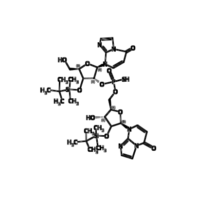 CC(C)(C)[Si](C)(C)OC1[C@@H](OP(=O)(S)OC[C@H]2O[C@@H](n3ccc(=O)n4ccnc34)C(O[Si](C)(C)C(C)(C)C)[C@@H]2O)[C@H](n2ccc(=O)n3ccnc23)O[C@@H]1CO